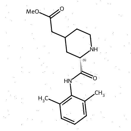 COC(=O)CC1CCN[C@H](C(=O)Nc2c(C)cccc2C)C1